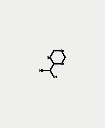 SC(S)C1[Se]C[Se]C[Se]1